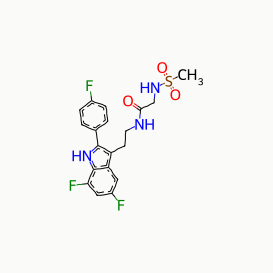 CS(=O)(=O)NCC(=O)NCCc1c(-c2ccc(F)cc2)[nH]c2c(F)cc(F)cc12